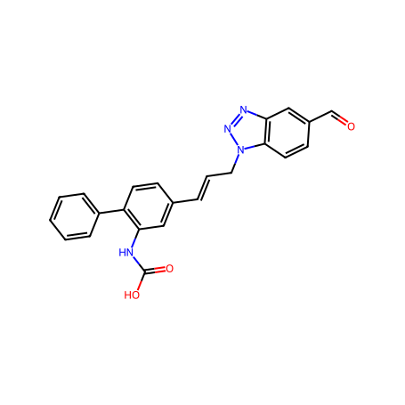 O=Cc1ccc2c(c1)nnn2C/C=C/c1ccc(-c2ccccc2)c(NC(=O)O)c1